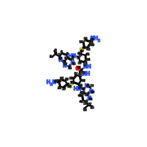 CC(C)c1ccc2c(Nc3cc(NC(=O)Nc4ccc(Sc5ccc(N)cc5)c(Nc5ncnc6nc(C(C)C)ccc56)c4)ccc3Sc3ccc(N)cc3)ncnc2n1